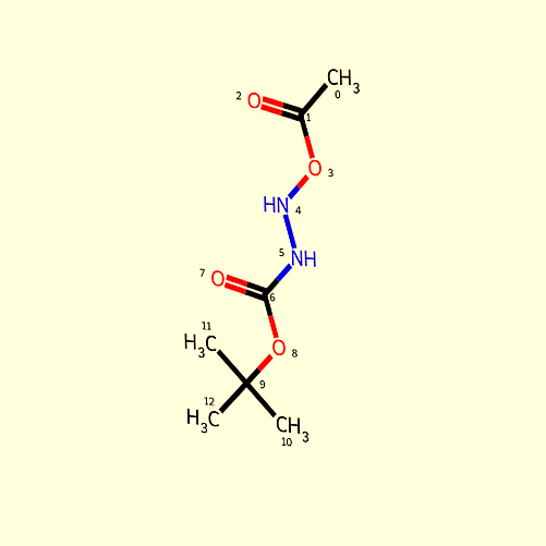 CC(=O)ONNC(=O)OC(C)(C)C